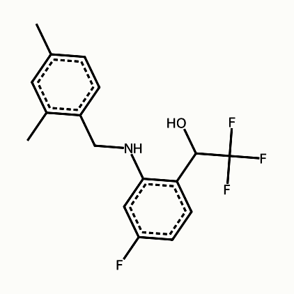 Cc1ccc(CNc2cc(F)ccc2C(O)C(F)(F)F)c(C)c1